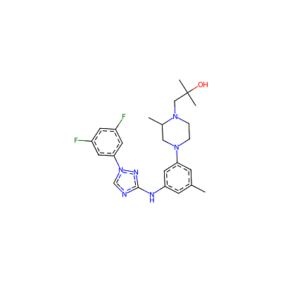 Cc1cc(Nc2ncn(-c3cc(F)cc(F)c3)n2)cc(N2CCN(CC(C)(C)O)C(C)C2)c1